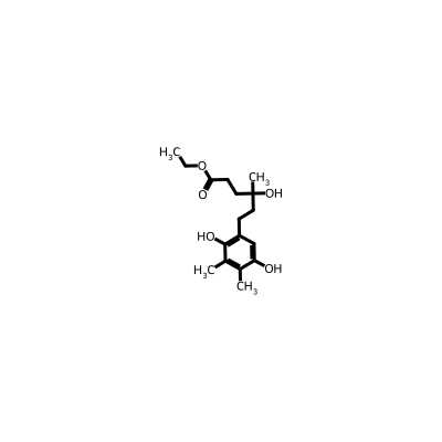 CCOC(=O)CCC(C)(O)CCc1cc(O)c(C)c(C)c1O